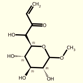 C=CC(=O)C(O)[C@H]1OC(OC)[C@H](O)[C@@H](O)[C@@H]1O